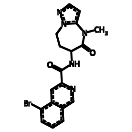 CN1C(=O)C(NC(=O)c2cc3c(Br)cccc3cn2)CCn2nccc21